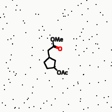 COC(=O)CC1CCC(OC(C)=O)C1